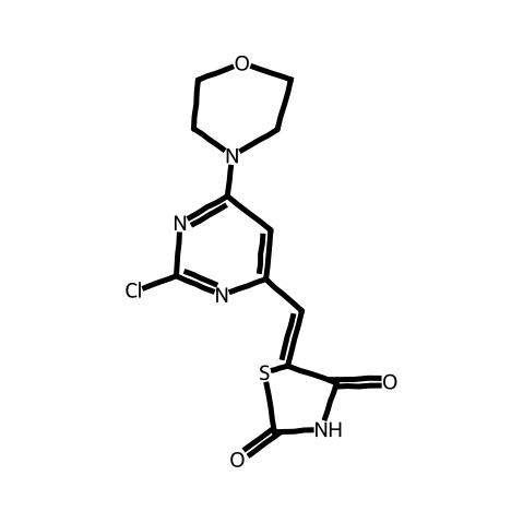 O=C1NC(=O)C(=Cc2cc(N3CCOCC3)nc(Cl)n2)S1